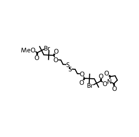 COC(=O)C(C)(Br)CC(C)(C)C(=O)OCCSSCCOC(=O)C(C)(C)CC(C)(Br)C(=O)ON1C(=O)CCC1=O